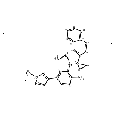 C=NN(c1nc(-c2cnn(C)c2)ccc1N)C1(c2ccc3ncccc3c2)CC1